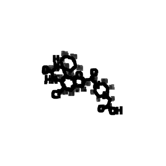 O=C(O)CN1CCN(C(=O)c2cc3cc(Cl)c4c(c3o2)C2(CCCCC2)NC(=O)N4)CC1